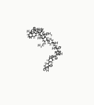 CCc1cc(Nc2ncc(Br)c(Nc3ccc4nccnc4c3P(C)(C)=O)n2)c(OC)cc1N1CCC(NCCNC(=O)c2n[nH]c(C(=O)Nc3ccc(C4CCC(=O)NC4=O)cc3)n2)CC1